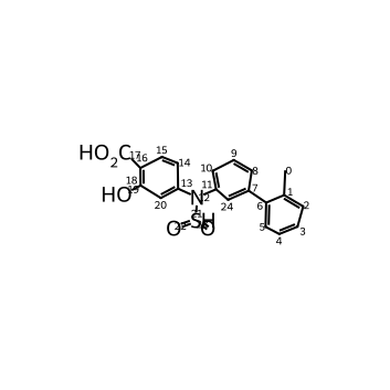 Cc1ccccc1-c1cccc(N(c2ccc(C(=O)O)c(O)c2)[SH](=O)=O)c1